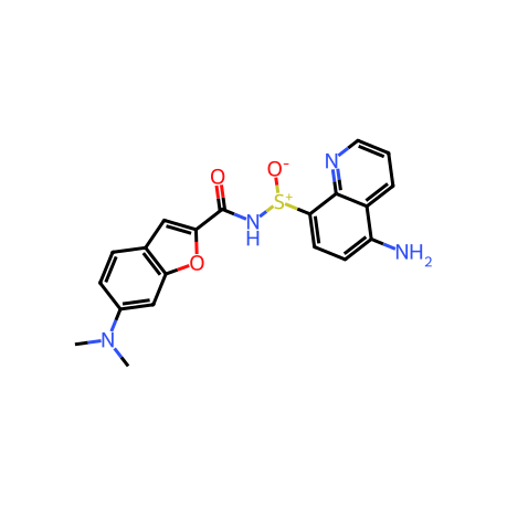 CN(C)c1ccc2cc(C(=O)N[S+]([O-])c3ccc(N)c4cccnc34)oc2c1